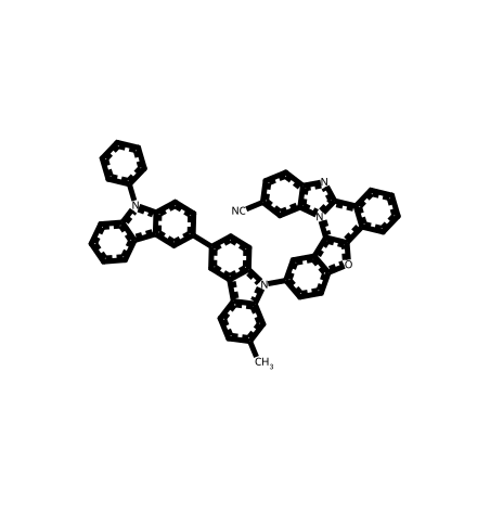 Cc1ccc2c3cc(-c4ccc5c(c4)c4ccccc4n5-c4ccccc4)ccc3n(-c3ccc4oc5c6ccccc6c6nc7ccc(C#N)cc7n6c5c4c3)c2c1